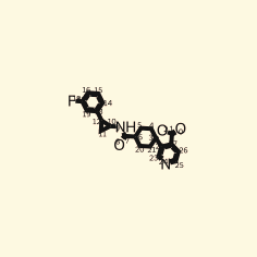 O=C1OC2(CCC(C(=O)NC3CC3c3cccc(F)c3)CC2)c2cnccc21